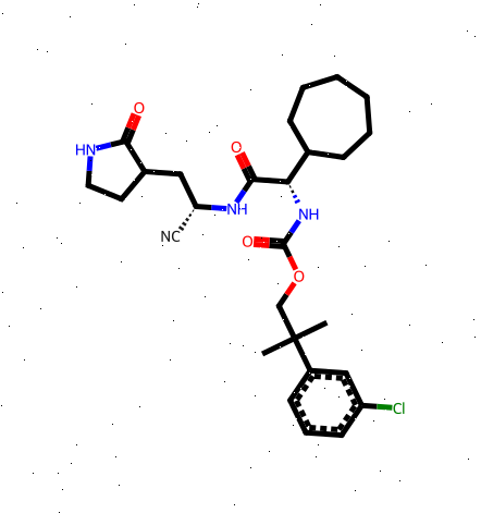 CC(C)(COC(=O)N[C@H](C(=O)N[C@H](C#N)CC1CCNC1=O)C1CCCCCC1)c1cccc(Cl)c1